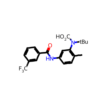 Cc1ccc(NC(=O)c2cccc(C(F)(F)F)c2)cc1N(C(=O)O)C(C)(C)C